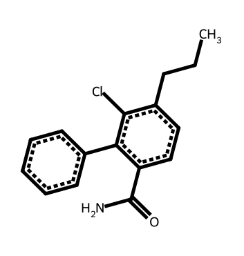 CCCc1ccc(C(N)=O)c(-c2ccccc2)c1Cl